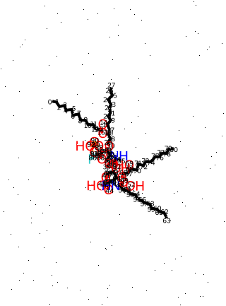 CCCCCCCCCCCCCC(=O)O[C@H](CCCCCCCCCCC)CCO[C@@H]1[C@@H](NC(C)=O)[C@H](OC[C@H]2O[C@H](C(=O)O)[C@H](NC(=O)C[C@H](O)CCCCCCCCCCC)[C@@H](OCC[C@H](O)CCCCCCCCCCC)[C@@H]2O)O[C@H](CF)[C@H]1OP(=O)(O)O